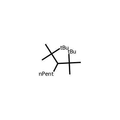 CCCCCC(C(C)(C)C(C)(C)C)C(C)(C)C(C)(C)C